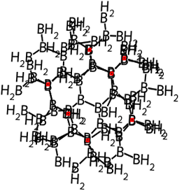 BB(B)B(B(B)B)B(B(B(B)B)B(B)B)B(B(B(B(B)B)B(B)B)B(B(B)B)B(B)B)B(B(B(B(B)B)B(B)B)B(B(B)B)B(B)B)B(B(B(B(B)B)B(B)B)B(B(B)B)B(B)B)B(B(B(B)B)B(B)B)B(B(B)B)B(B)B